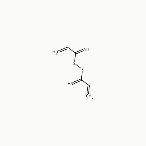 C=CC(=N)SSC(=N)C=C